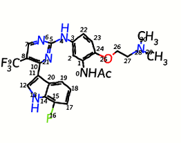 CC(=O)Nc1cc(Nc2ncc(C(F)(F)F)c(-c3c[nH]c4c(F)cccc34)n2)ccc1OCCN(C)C